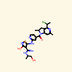 Cc1cc2c(c(C(C)Br)n1)CC(C)N2C(=O)c1ccnc(Nc2snc(O)c2C(=N)NC(C)CO)c1